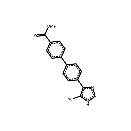 COC(=O)c1ccc(-c2ccc(-c3nn[nH]c3C#N)cc2)cc1